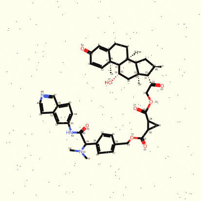 C[C@@H]1CC2[C@@H]3CCC4=CC(=O)C=C[C@]4(C)C3[C@@H](O)C[C@]2(C)[C@H]1C(=O)COC(=O)C1CC1C(=O)OCc1ccc(C(C(=O)Nc2ccc3cnccc3c2)N(C)C)cc1